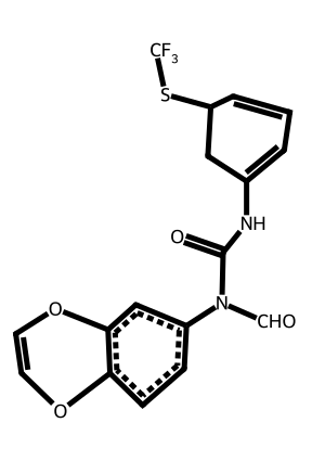 O=CN(C(=O)NC1=CC=CC(SC(F)(F)F)C1)c1ccc2c(c1)OC=CO2